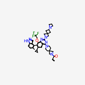 C=CC(=O)N1CC2(CCN(c3nc(N4CC5(CC(N6CCC6)C5)C4)nc4c(OCC(F)(F)F)c(-c5c(C)ccc6[nH]ncc56)c(C5CC5)cc34)CC2)C1